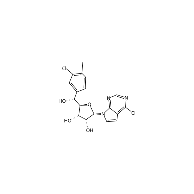 Cc1ccc([C@@H](O)[C@H]2O[C@@H](n3ccc4c(Cl)ncnc43)[C@H](O)[C@@H]2O)cc1Cl